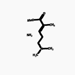 COC(=O)C(C)=CCCN(C)C.N